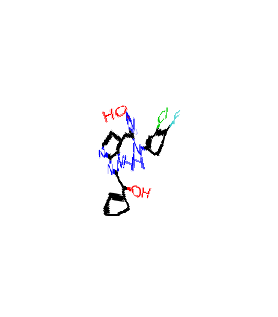 O/N=C(/Nc1ccc(F)c(Cl)c1)c1ccnc2nc(C(O)c3ccccc3)[nH]c12